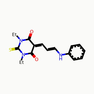 CCN1C(=O)C(=CC=CNc2ccccc2)C(=O)N(CC)C1=S